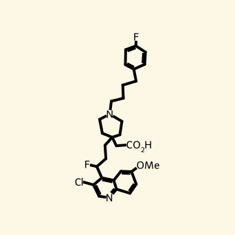 COc1ccc2ncc(Cl)c(C(F)CCC3(CC(=O)O)CCN(CCCCc4ccc(F)cc4)CC3)c2c1